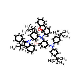 CC(C)(C)c1ccc(N(c2ccc(C(C)(C)C)cc2)c2ccc3c(c2)N(c2cccc4c2oc2ccccc24)c2cc(C(C)(C)C)cc4c2B3c2cccc3c5c(n-4c23)-c2ccccc2C5(C)C)cc1